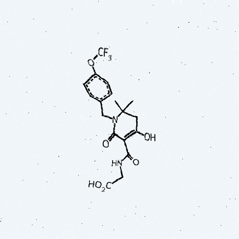 CC1(C)CC(O)=C(C(=O)NCC(=O)O)C(=O)N1Cc1ccc(OC(F)(F)F)cc1